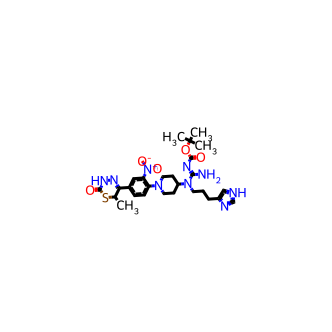 CC1SC(=O)NN=C1c1ccc(N2CCC(N(CCCc3c[nH]cn3)C(N)=NC(=O)OC(C)(C)C)CC2)c([N+](=O)[O-])c1